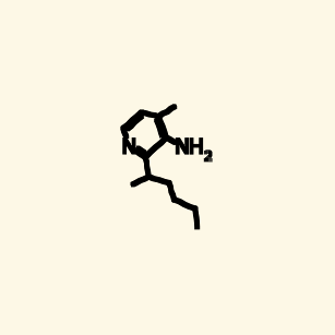 CCCCC(C)c1nccc(C)c1N